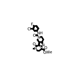 COC(=O)C1CCN(C)C(=O)c2c3c(nn21)CCN(C(=O)Nc1ccc(F)c(Cl)c1)C3